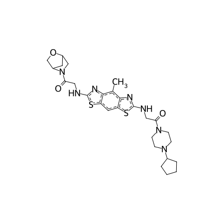 Cc1c2nc(NCC(=O)N3CCN(C4CCCC4)CC3)sc2cc2sc(NCC(=O)N3CC4CC3CO4)nc12